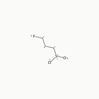 [O-][S+](Cl)CCCF